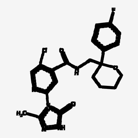 Cc1n[nH]c(=O)n1-c1cc(C(=O)NCC2(c3ccc(F)cc3)CCCCO2)c(Cl)cn1